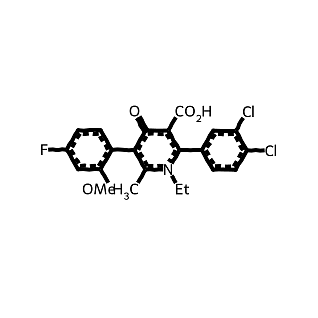 CCn1c(C)c(-c2ccc(F)cc2OC)c(=O)c(C(=O)O)c1-c1ccc(Cl)c(Cl)c1